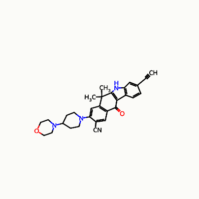 C#Cc1ccc2c3c([nH]c2c1)C(C)(C)c1cc(N2CCC(N4CCOCC4)CC2)c(C#N)cc1C3=O